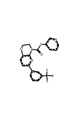 O=C(Oc1cccnc1)N1CCOc2ccc(-c3cccc(C(F)(F)F)c3)nc21